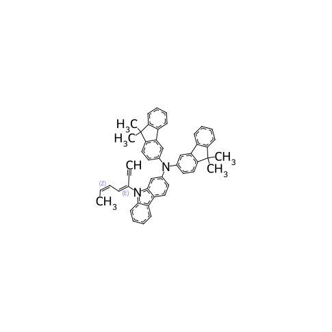 C#C/C(=C\C=C/C)n1c2ccccc2c2ccc(N(c3ccc4c(c3)-c3ccccc3C4(C)C)c3ccc4c(c3)-c3ccccc3C4(C)C)cc21